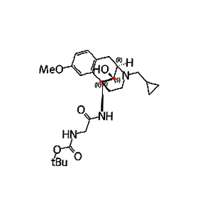 COc1ccc2c(c1)[C@]13CCN(CC4CC4)[C@H](C2)[C@]1(O)CC[C@@H](NC(=O)CNC(=O)OC(C)(C)C)C3